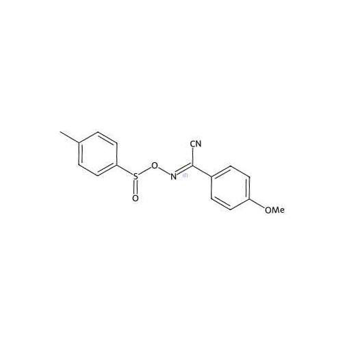 COc1ccc(/C(C#N)=N/OS(=O)c2ccc(C)cc2)cc1